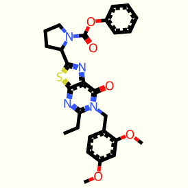 CCc1nc2sc(C3CCCN3C(=O)Oc3ccccc3)nc2c(=O)n1Cc1ccc(OC)cc1OC